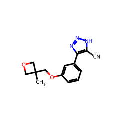 CC1(COc2cccc(-c3nn[nH]c3C#N)c2)COC1